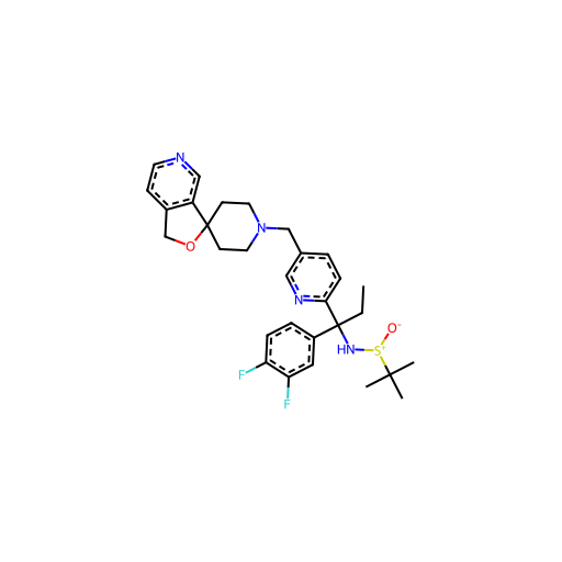 CCC(N[S+]([O-])C(C)(C)C)(c1ccc(F)c(F)c1)c1ccc(CN2CCC3(CC2)OCc2ccncc23)cn1